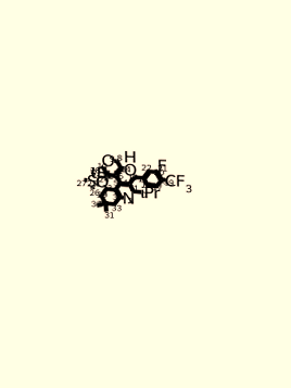 CC(C)c1nc2c(c(C3=CCOCC3)c1C(O)c1ccc(C(F)(F)F)c(F)c1)[C@@H](O[Si](C)(C)C(C)(C)C)CC(C)(C)C2